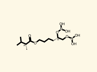 CC(C)[C@@H](C)C(=O)OCCCC[C@@H](CON(O)O)ON(O)O